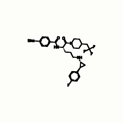 N#Cc1ccc(C(=O)N[C@@H](CCCN[C@@H]2C[C@H]2c2ccc(F)cc2)C(=O)N2CCC(CC(F)(F)F)CC2)cc1